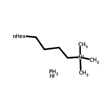 CCCCCCCCCC[N+](C)(C)C.I.P